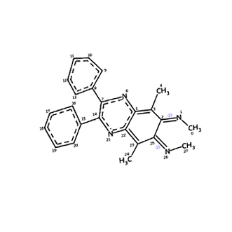 C/N=C1/C(C)=c2nc(-c3ccccc3)c(-c3ccccc3)nc2=C(C)/C1=N/C